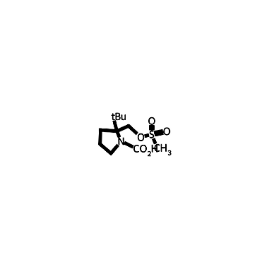 CC(C)(C)C1(COS(C)(=O)=O)CCCN1C(=O)O